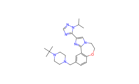 CC(C)n1ncnc1-c1cn2c(n1)-c1cc(CN3CCN(C(C)(C)C)CC3)ccc1OCC2